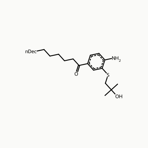 CCCCCCCCCCCCCCCC(=O)c1ccc(N)c(SCC(C)(C)O)c1